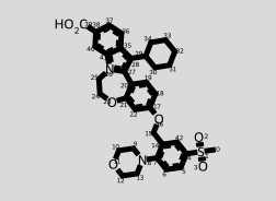 CS(=O)(=O)c1ccc(N2CCOCC2)c(COc2ccc3c(c2)OCCn2c-3c(C3CCCCC3)c3ccc(C(=O)O)cc32)c1